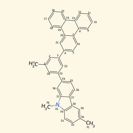 Cc1cc(-c2ccc3c4ccccc4c4ccccc4c3c2)cc(-c2ccc3c4cc(C)ccc4n(C)c3c2)c1